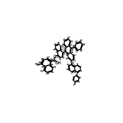 Cc1ccc(-c2cccc3c(-c4ccc5c(-c6ccccc6)c6ccccc6c(-c6ccc(OB(O)c7ccc(C)c8ccccc78)c7ccccc67)c5c4)cccc23)cc1